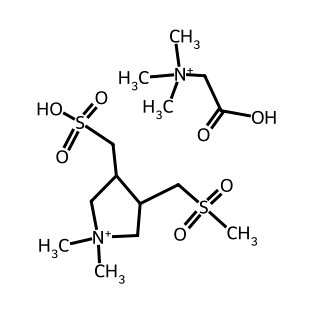 C[N+](C)(C)CC(=O)O.C[N+]1(C)CC(CS(C)(=O)=O)C(CS(=O)(=O)O)C1